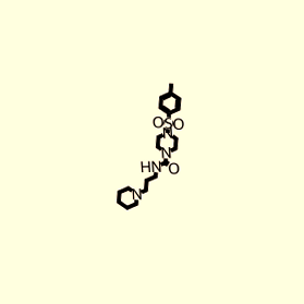 Cc1ccc(S(=O)(=O)N2CCN(C(=O)NCCCN3CCCCC3)CC2)cc1